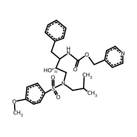 COc1ccc(S(=O)(=O)N(CC(C)C)C[C@H](O)C(Cc2ccccc2)NC(=O)OCc2ccncc2)cc1